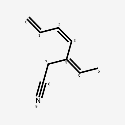 C=C/C=C\C(=C/C)CC#N